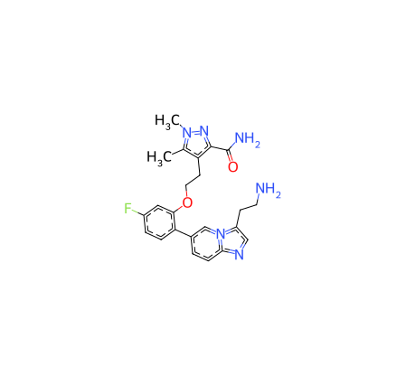 Cc1c(CCOc2cc(F)ccc2-c2ccc3ncc(CCN)n3c2)c(C(N)=O)nn1C